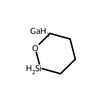 C1CC[SiH2]OC1.[GaH3]